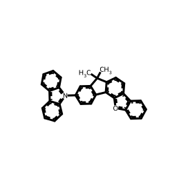 CC1(C)c2cc(-n3c4ccccc4c4ccccc43)ccc2-c2c1ccc1c2oc2ccccc21